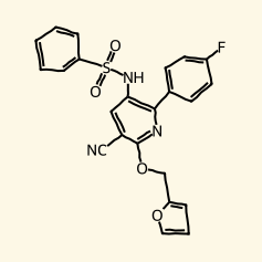 N#Cc1cc(NS(=O)(=O)c2ccccc2)c(-c2ccc(F)cc2)nc1OCc1ccco1